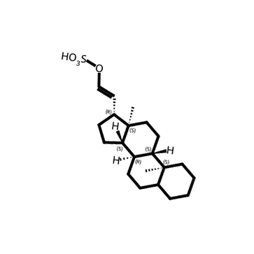 C[C@]12CC[C@H]3[C@@H](CCC4CCCC[C@@]43C)[C@@H]1CC[C@@H]2C=COS(=O)(=O)O